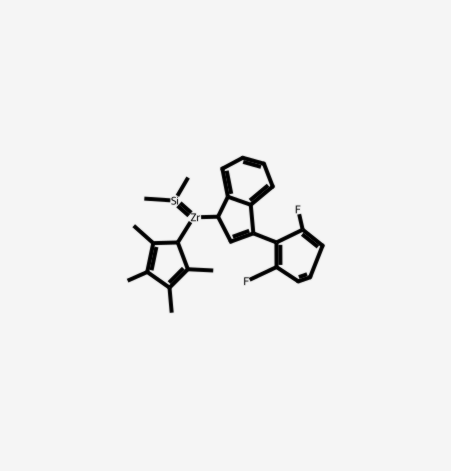 CC1=C(C)[CH]([Zr]([CH]2C=C(c3c(F)cccc3F)c3ccccc32)=[Si](C)C)C(C)=C1C